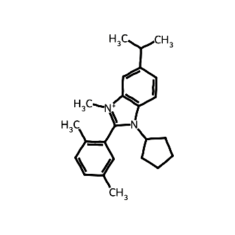 Cc1ccc(C)c(-c2n(C3CCCC3)c3ccc(C(C)C)cc3[n+]2C)c1